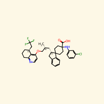 C[C@@H](COc1ccnc2c1[C@H](CC(F)(F)F)CCC2)C[C@H]1Cc2ccccc2C12CCC(Nc1cccc(Cl)c1)(C(=O)O)CC2